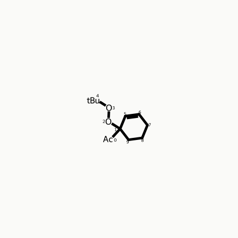 CC(=O)C1(OOC(C)(C)C)C=CCCC1